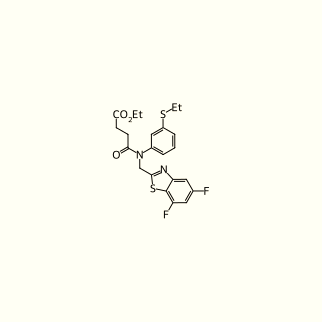 CCOC(=O)CCC(=O)N(Cc1nc2cc(F)cc(F)c2s1)c1cccc(SCC)c1